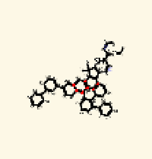 CC=C=C(/C=C\C)C/C=C\C1=C(S)C(C)(C)c2cc(N(c3cccc(-c4ccccc4)c3-c3ccccc3-c3ccccc3)C3C=CC(C4=CCCC(c5ccccc5)=C4)=CC3)ccc21